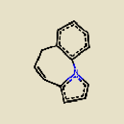 C1=Cc2cccn2-c2ccccc2C1